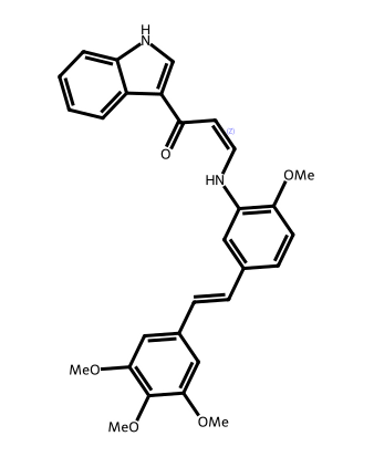 COc1ccc(C=Cc2cc(OC)c(OC)c(OC)c2)cc1N/C=C\C(=O)c1c[nH]c2ccccc12